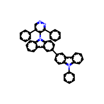 c1ccc(-c2cnnc(-c3ccccc3)c2-n2c3ccccc3c3cc(-c4ccc5c(c4)c4ccccc4n5-c4ccccc4)ccc32)cc1